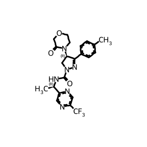 Cc1ccc(C2=NN(C(=O)N[C@H](C)c3cnc(C(F)(F)F)cn3)C[C@H]2N2CCOCC2=O)cc1